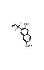 C=CC(F)(F)c1nc2cc(OC)ccc2nc1O